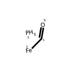 O=[CH][Fe].P